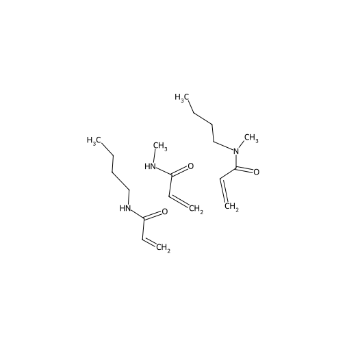 C=CC(=O)N(C)CCCC.C=CC(=O)NC.C=CC(=O)NCCCC